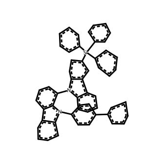 c1ccc(-c2ccc(-n3c4ccccc4c4cccc(-n5c6ccccc6c6cc([Si](c7ccccc7)(c7ccccc7)c7ccccc7)ccc65)c43)cc2)cc1